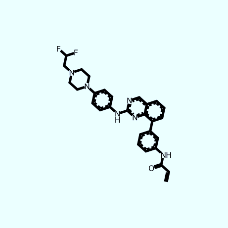 C=CC(=O)Nc1cccc(-c2cccc3cnc(Nc4ccc(N5CCN(CC(F)F)CC5)cc4)nc23)c1